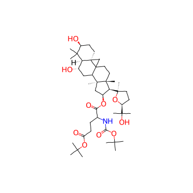 CC(C)(C)OC(=O)CCC(NC(=O)OC(C)(C)C)C(=O)O[C@H]1C[C@@]2(C)C3C[C@H](O)[C@H]4C(C)(C)[C@@H](O)CC[C@@]45CC35CC[C@]2(C)[C@H]1[C@@]1(C)CC[C@@H](C(C)(C)O)O1